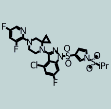 CC(C)S(=O)(=O)n1ccc(S(=O)(=O)n2nc(N3CCN(c4ncc(F)cc4F)CC34CC4)c3c(Cl)cc(F)cc32)c1